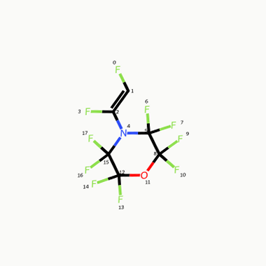 F/C=C(\F)N1C(F)(F)C(F)(F)OC(F)(F)C1(F)F